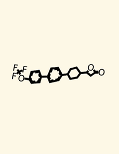 O=C1CC(C2CCC(c3ccc(-c4ccc(OC(F)(F)F)cc4)cc3)CC2)O1